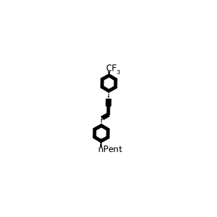 CCCCC[C@H]1CC[C@H](C=CC#C[C@H]2CC[C@H](C(F)(F)F)CC2)CC1